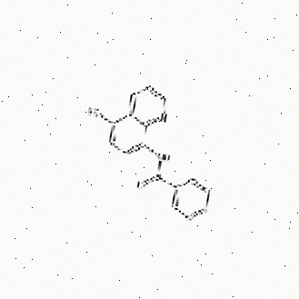 N#Cc1ccc(NC(=O)c2ccccc2)c2ncccc12